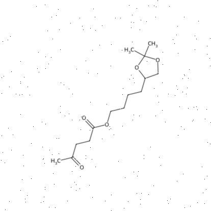 CC(=O)CCC(=O)OCCCCC1COC(C)(C)O1